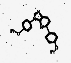 CC(C)Oc1ccc(-c2ccc3ncn(-c4ccc(OC(C)C)cc4)c3n2)cc1